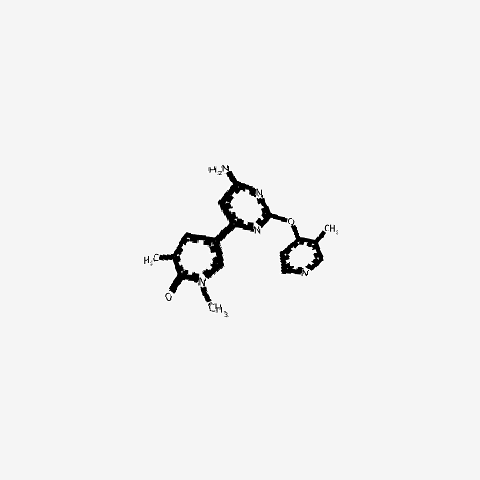 Cc1cnccc1Oc1nc(N)cc(-c2cc(C)c(=O)n(C)c2)n1